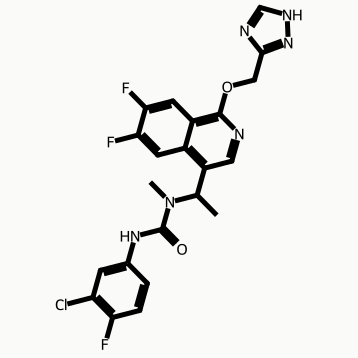 CC(c1cnc(OCc2nc[nH]n2)c2cc(F)c(F)cc12)N(C)C(=O)Nc1ccc(F)c(Cl)c1